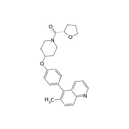 Cc1ccc2ncccc2c1-c1ccc(OC2CCN(C(=O)[C@@H]3CCCO3)CC2)cc1